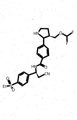 CCS(=O)(=O)c1ccc([C@H](CC#N)NC(=O)c2ccc(C3NCC[C@H]3COC(F)F)cc2)cc1